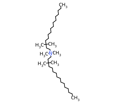 CCCCCCCCCCCCCC(C)(C)CC[N+](C)(C)CCC(C)(C)CCCCCCCCCCCCC